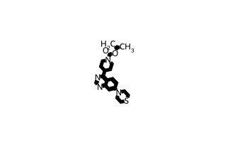 C=C(C)OC(=O)N1CCC(c2ncnc3cc(N4CCSCC4)ccc23)CC1